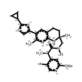 CCN(C[C@@]1(C)CCc2cc(-c3csc(C4CC4)n3)c(C)nc2N1)C(=O)[C@H](C)c1cc(OC)ncc1F